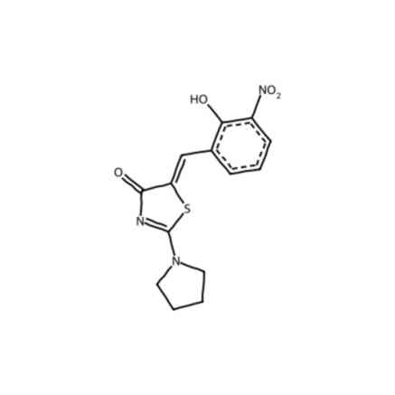 O=C1N=C(N2CCCC2)S/C1=C\c1cccc([N+](=O)[O-])c1O